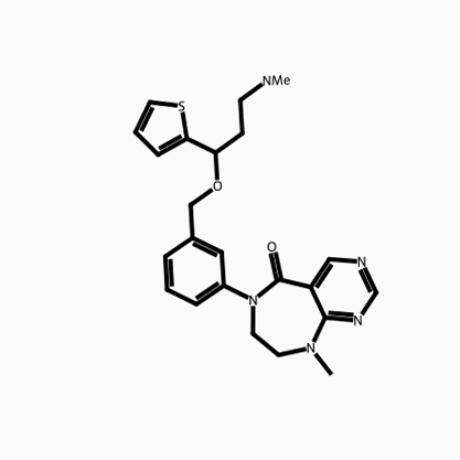 CNCCC(OCc1cccc(N2CCN(C)c3ncncc3C2=O)c1)c1cccs1